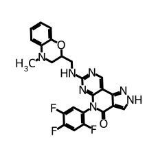 CN1CC(CNc2ncc3c4n[nH]cc4c(=O)n(-c4cc(F)c(F)cc4F)c3n2)Oc2ccccc21